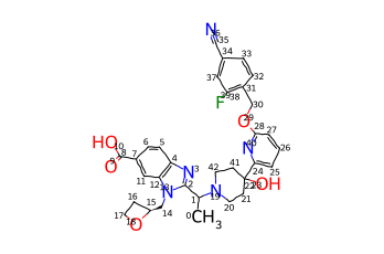 CC(c1nc2ccc(C(=O)O)cc2n1C[C@@H]1CCO1)N1CCC(O)(c2cccc(OCc3ccc(C#N)cc3F)n2)CC1